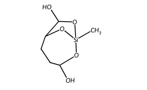 C[Si]12OC(O)CCC(O1)C(O)O2